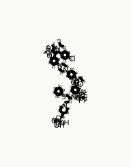 Cc1c(S(C)(=O)=O)c(-c2cccc(N3CCN(c4ccc(N5CCO[P@@]5(=O)c5ccc(N[C@H](CCN6CCC(COP(=O)(O)O)CC6)CSc6ccccc6)c(S(=O)(=O)C(F)(F)F)c5)cc4)CC3)c2)c(-c2ccc(Cl)cc2)n1C(C)C